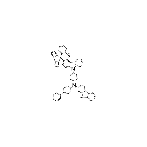 CC1(C)c2ccccc2-c2ccc(N(c3ccc(-c4ccccc4)cc3)c3ccc(-n4c5ccccc5c5c6c(ccc54)C4(c5ccccc5S6)c5ccccc5-c5ccccc54)cc3)cc21